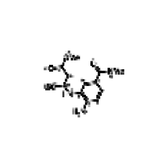 CNC(=O)c1ccc(N)c(NC(CC(=O)OC)C(C)(C)C)c1